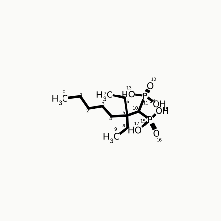 CCCCCC(CC)(CC)C(P(=O)(O)O)P(=O)(O)O